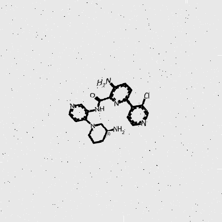 Nc1ccc(-c2ccncc2Cl)nc1C(=O)Nc1cnccc1N1CCC[C@H](N)C1